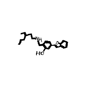 C=CCC(CC)CCNCc1ccc(-c2cc3ccccc3o2)cc1O